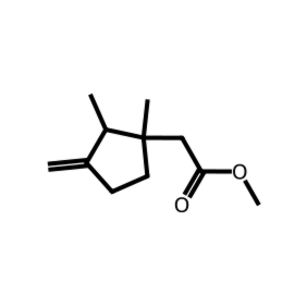 C=C1CCC(C)(CC(=O)OC)C1C